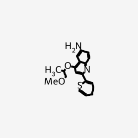 COCC(C)Oc1cc(C2=CCCC=CS2)nc2ccc(N)cc12